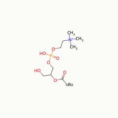 CCCCC(=O)OC(CO)COP(=O)(O)OCC[N+](C)(C)C